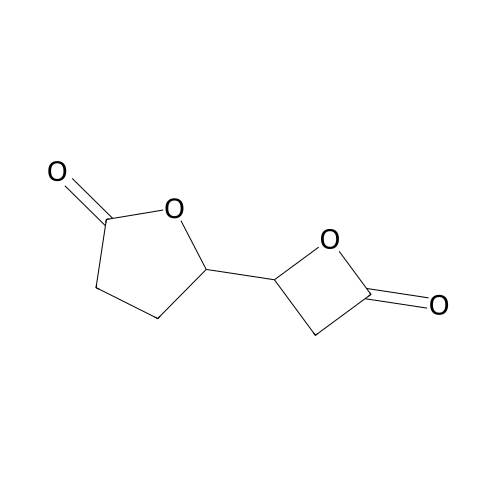 O=C1CCC(C2CC(=O)O2)O1